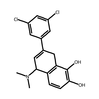 CN(C)C1C=C(c2cc(Cl)cc(Cl)c2)Cc2c1ccc(O)c2O